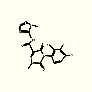 Cn1nnnc1NC(=O)c1nn(C)c(=O)n(-c2ccc(Cl)c(Cl)c2Cl)c1=O